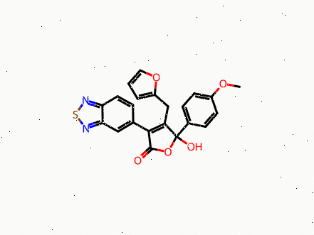 COc1ccc(C2(O)OC(=O)C(c3ccc4nsnc4c3)=C2Cc2ccco2)cc1